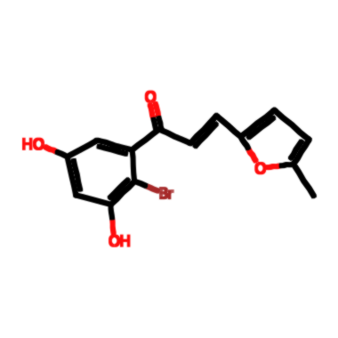 Cc1ccc(/C=C/C(=O)c2cc(O)cc(O)c2Br)o1